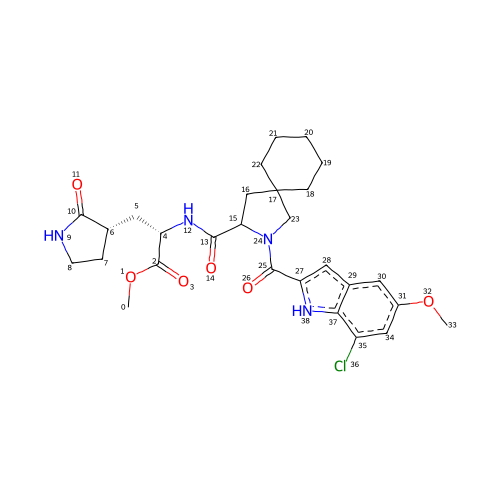 COC(=O)[C@H](C[C@@H]1CCNC1=O)NC(=O)C1CC2(CCCCC2)CN1C(=O)c1cc2cc(OC)cc(Cl)c2[nH]1